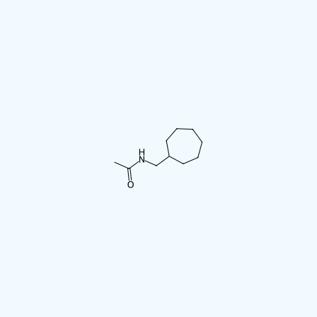 CC(=O)NCC1CCCCCC1